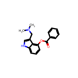 CN(C)Cc1c[nH]c2cccc(OC(=O)c3ccccc3)c12